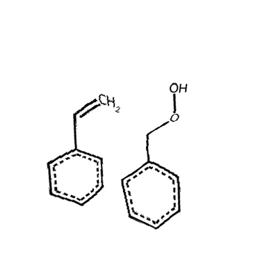 C=Cc1ccccc1.OOCc1ccccc1